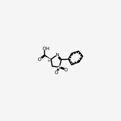 O=C(O)[C@@H]1CS(=O)(=O)C(c2ccccc2)=N1